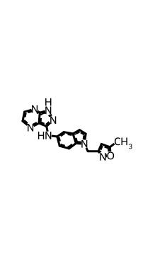 Cc1cc(Cn2ccc3cc(Nc4n[nH]c5nccnc45)ccc32)no1